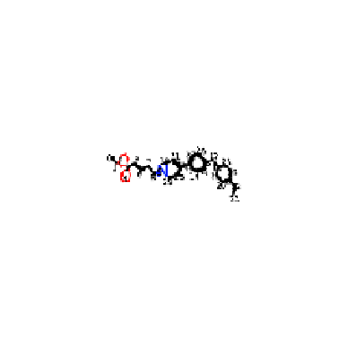 CCOC(=O)CCCCN1CC=C(c2ccc(CC3CCC(CC)CC3)cc2)CC1